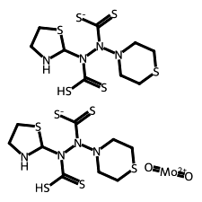 S=C(S)N(C1NCCS1)N(C(=S)[S-])N1CCSCC1.S=C(S)N(C1NCCS1)N(C(=S)[S-])N1CCSCC1.[O]=[Mo+2]=[O]